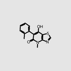 Cc1ccccc1-c1c(O)c2scnc2n(C)c1=O